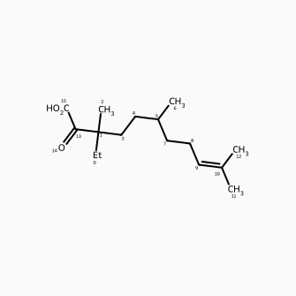 CCC(C)(CCC(C)CCC=C(C)C)C(=O)C(=O)O